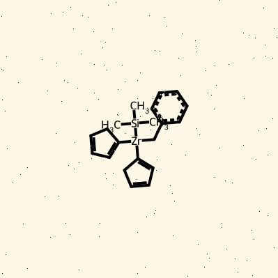 C[Si](C)(C)[Zr]([CH2]c1ccccc1)([C]1=CC=CC1)[C]1=CC=CC1